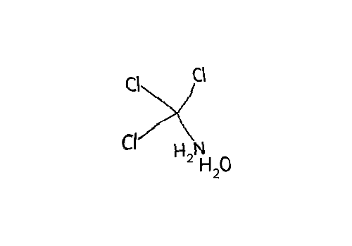 NC(Cl)(Cl)Cl.O